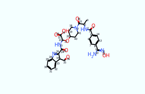 CC(NC(=O)c1ccc(/C(N)=N/O)cc1)C(=O)N1CCC(OC(NC(=O)C2=Nc3ccccc3C2C=O)C(=O)O)CC1